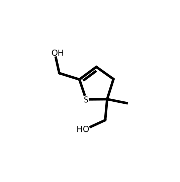 CC1(CO)CC=C(CO)S1